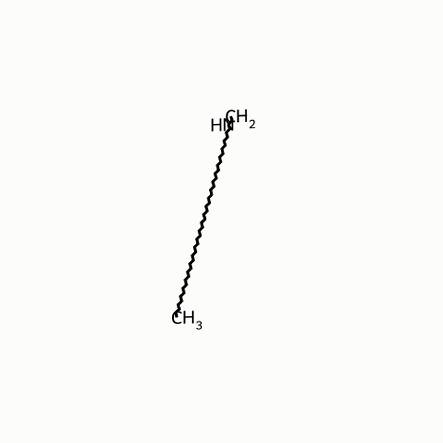 [CH2]CNCCCCCCCCCCCCCCCCCCCCCCCCCCCCCCCCCCCCCCCCCCCCCCC